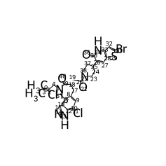 CC(C)(C)CN1Cc2c(cc(Cl)c3[nH]ncc23)C[C@@H](CC(=O)N2CCC(c3cc4sc(Br)cc4[nH]c3=O)CC2)C1=O